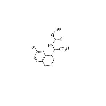 CC(C)(C)OC(=O)NC(C(=O)O)[C@@H]1CCCc2ccc(Br)cc21